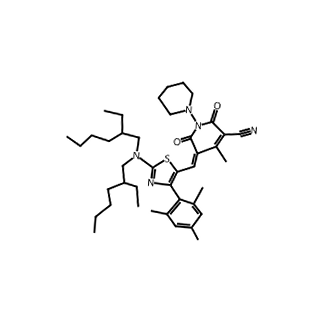 CCCCC(CC)CN(CC(CC)CCCC)c1nc(-c2c(C)cc(C)cc2C)c(/C=C2\C(=O)N(N3CCCCC3)C(=O)C(C#N)=C2C)s1